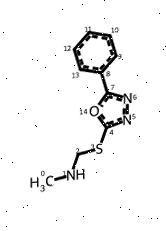 CNCSc1nnc(-c2ccccc2)o1